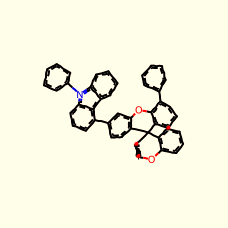 c1ccc(-c2cccc3c2Oc2cc(-c4cccc5c4c4ccccc4n5-c4ccccc4)ccc2C32c3ccccc3Oc3ccccc32)cc1